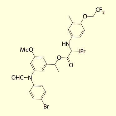 COc1cc(C(C)OC(=O)C(Nc2ccc(OCC(F)(F)F)c(C)c2)C(C)C)cc(N(C=O)c2ccc(Br)cc2)c1